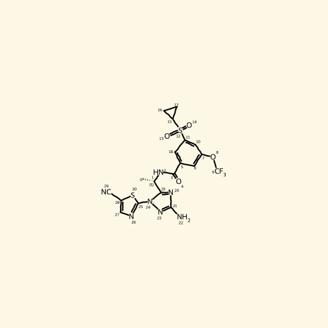 C[C@H](NC(=O)c1cc(OC(F)(F)F)cc(S(=O)(=O)C2CC2)c1)c1nc(N)nn1-c1ncc(C#N)s1